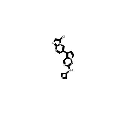 Clc1cnc2ncc(-c3ccn4nc(NC5COC5)ncc34)cn12